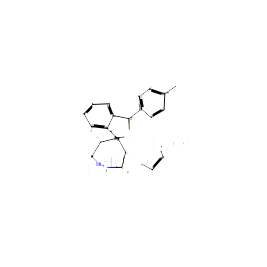 Cc1ccc(C2SC3(CCNCC3)c3ccccc32)cc1.O=C(O)/C=C\C(=O)O